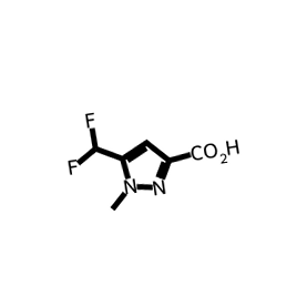 Cn1nc(C(=O)O)cc1C(F)F